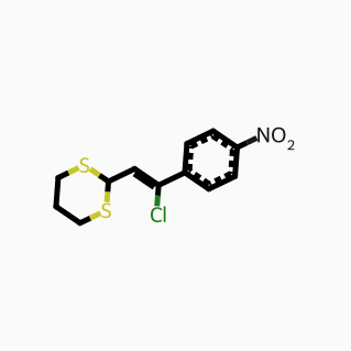 O=[N+]([O-])c1ccc(C(Cl)=CC2SCCCS2)cc1